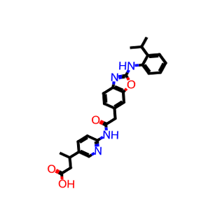 CC(C)c1ccccc1Nc1nc2ccc(CC(=O)Nc3ccc(C(C)CC(=O)O)cn3)cc2o1